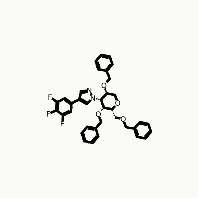 Fc1cc(-c2cnn([C@H]3[C@@H](OCc4ccccc4)[C@@H](COCc4ccccc4)OC[C@@H]3OCc3ccccc3)c2)cc(F)c1F